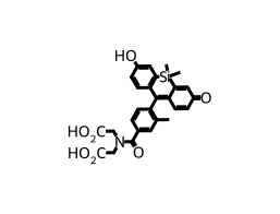 Cc1cc(C(=O)N(CC(=O)O)CC(=O)O)ccc1C1=C2C=CC(=O)C=C2[Si](C)(C)c2cc(O)ccc21